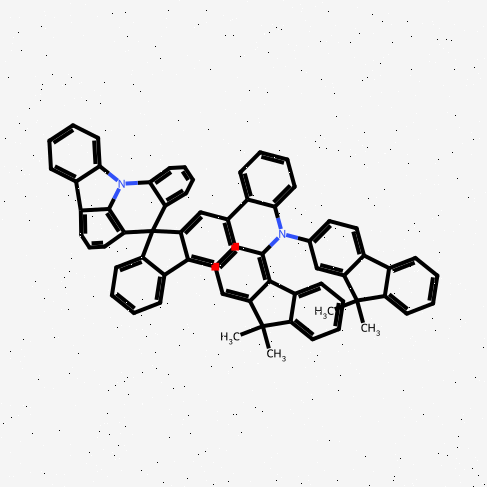 CC1(C)c2ccccc2-c2ccc(N(c3ccccc3-c3ccc4c(c3)C3(c5ccccc5-4)c4ccccc4-n4c5ccccc5c5cccc3c54)c3cccc4c3-c3ccccc3C4(C)C)cc21